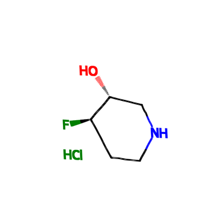 Cl.O[C@@H]1CNCC[C@H]1F